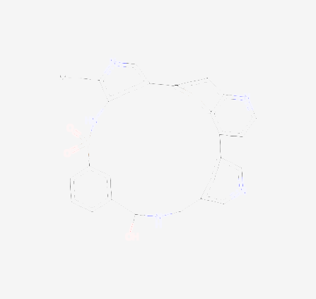 COc1ncc2cc1NS(=O)(=O)c1cccc(c1)C(O)NCc1cncc(c1)-c1ccnc3cc-2sc13